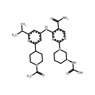 CC(=O)N1CCC(c2cc(Nc3nc(N4CCC[C@H](NC(=O)O)C4)ncc3C(N)=O)cc(C(C)C)n2)CC1